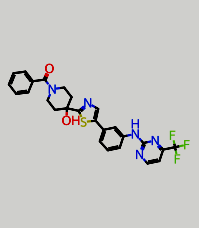 O=C(c1ccccc1)N1CCC(O)(c2ncc(-c3cccc(Nc4nccc(C(F)(F)F)n4)c3)s2)CC1